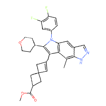 COC(=O)C1CC2(C=C(c3c(C4CCOCC4)n(-c4ccc(F)c(F)c4)c4cc5cn[nH]c5c(C)c34)C2)C1